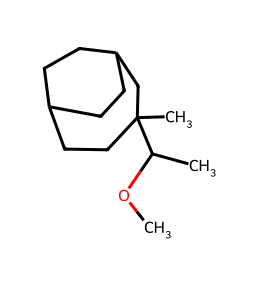 COC(C)C1(C)CCC2CCC(CC2)C1